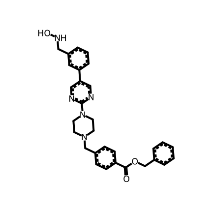 O=C(OCc1ccccc1)c1ccc(CN2CCN(c3ncc(-c4cccc(CNO)c4)cn3)CC2)cc1